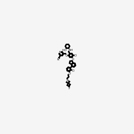 N#Cc1cncc(COc2cc(O[C@H]3CCc4c(-c5cccc(OCCCN6CC7(CC(F)C7)C6)c5Cl)cccc43)c(Cl)cc2CN[C@@H]2CCCC[C@@H]2O)c1